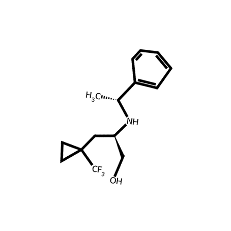 C[C@@H](N[C@@H](CO)CC1(C(F)(F)F)CC1)c1ccccc1